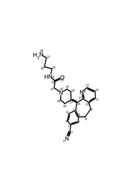 N#Cc1ccc2c(c1)CCc1cccnc1C2=C1CCN(CC(=O)NCCCN)CC1